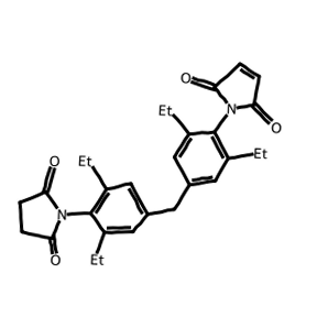 CCc1cc(Cc2cc(CC)c(N3C(=O)CCC3=O)c(CC)c2)cc(CC)c1N1C(=O)C=CC1=O